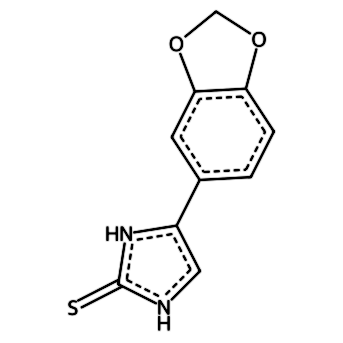 S=c1[nH]cc(-c2ccc3c(c2)OCO3)[nH]1